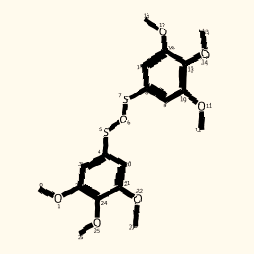 COc1cc(SOSc2cc(OC)c(OC)c(OC)c2)cc(OC)c1OC